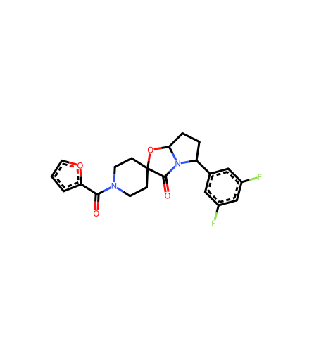 O=C(c1ccco1)N1CCC2(CC1)OC1CCC(c3cc(F)cc(F)c3)N1C2=O